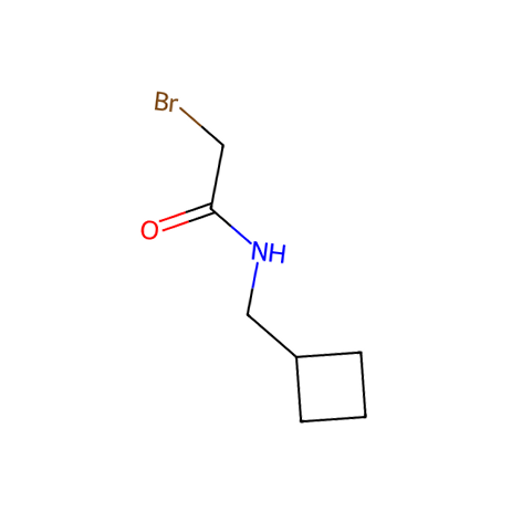 O=C(CBr)NCC1CCC1